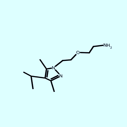 Cc1nn(CCOCCN)c(C)c1C(C)C